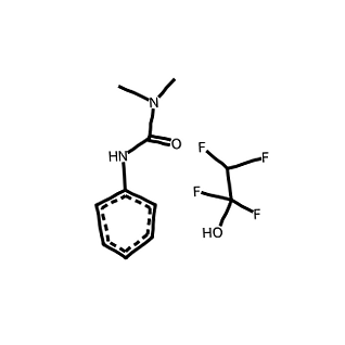 CN(C)C(=O)Nc1ccccc1.OC(F)(F)C(F)F